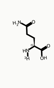 [2H]N[C@@H](CCC(N)=O)C(=O)O